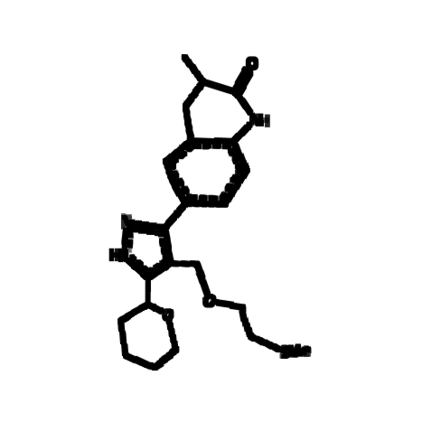 CSCCOCc1c(-c2ccc3c(c2)CC(C)C(=O)N3)n[nH]c1C1CCCCO1